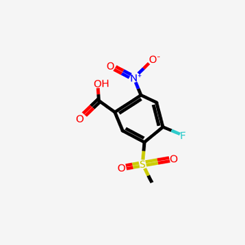 CS(=O)(=O)c1cc(C(=O)O)c([N+](=O)[O-])cc1F